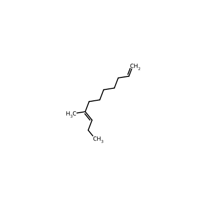 C=CCCCCCC(C)=CCC